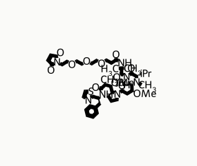 CC[C@H](C)[C@@H]([C@@H](CC(=O)N1CCC[C@H]1[C@H](OC)[C@@H](C)C(=O)N[C@@H](Cc1ccccc1)c1nccs1)OC)N(C)[C@H](C(=O)NC(=O)C(C)(C)NC(=O)CCOCCOCCOCCN1C(=O)C=CC1=O)C(C)C